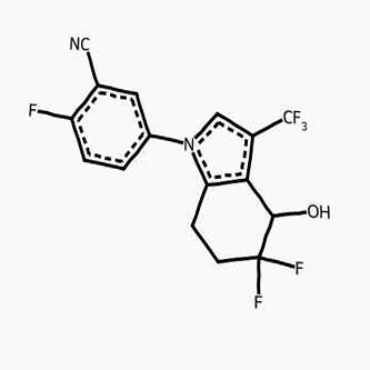 N#Cc1cc(-n2cc(C(F)(F)F)c3c2CCC(F)(F)C3O)ccc1F